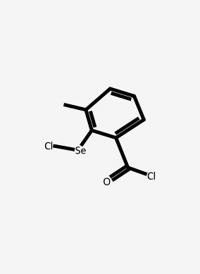 Cc1cccc(C(=O)Cl)c1[Se]Cl